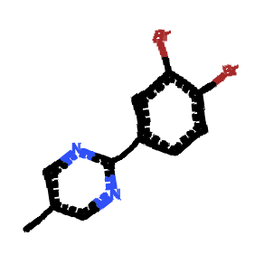 Cc1cnc(-c2ccc(Br)c(Br)c2)nc1